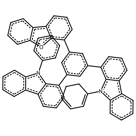 C1=CCCC(n2c3ccccc3c3cccc(-c4cc(-c5cccc6c5oc5ccccc56)cc(-c5cccc6c7ccccc7n(-c7ccccc7)c56)c4)c32)=C1